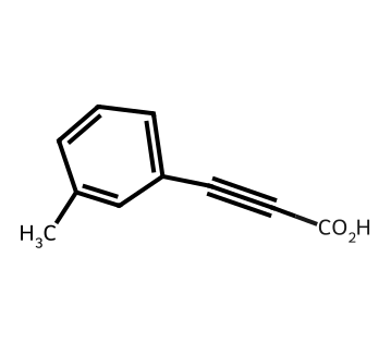 Cc1cccc(C#CC(=O)O)c1